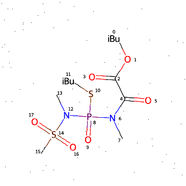 CCC(C)OC(=O)C(=O)N(C)P(=O)(SC(C)CC)N(C)S(C)(=O)=O